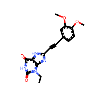 CCn1c(=O)[nH]c(=O)c2[nH]c(C#Cc3ccc(OC)c(OC)c3)nc21